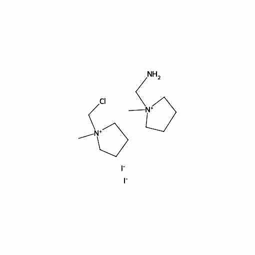 C[N+]1(CCl)CCCC1.C[N+]1(CN)CCCC1.[I-].[I-]